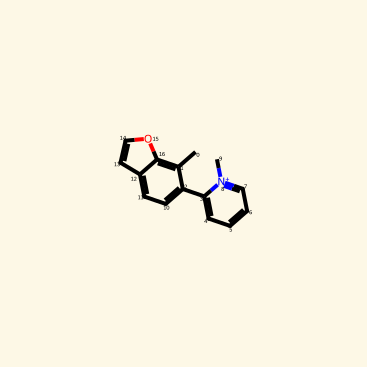 Cc1c(-c2cccc[n+]2C)ccc2ccoc12